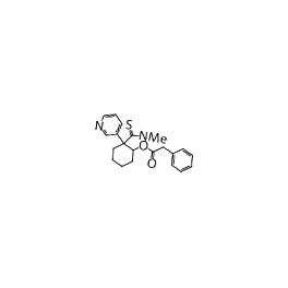 CNC(=S)C1(c2cccnc2)CCCCC1OC(=O)Cc1ccccc1